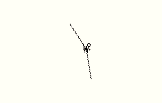 CCCCCCCCCCCCCCCCCCCn1cc[n+](CCCCCCCCCCCCCCCCCCC)c1Cc1ccccc1